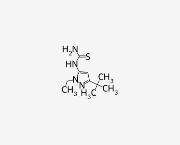 CCn1nc(C(C)(C)C)cc1NC(N)=S